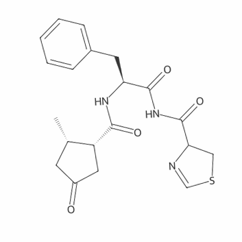 C[C@H]1CC(=O)C[C@H]1C(=O)N[C@@H](Cc1ccccc1)C(=O)NC(=O)C1CSC=N1